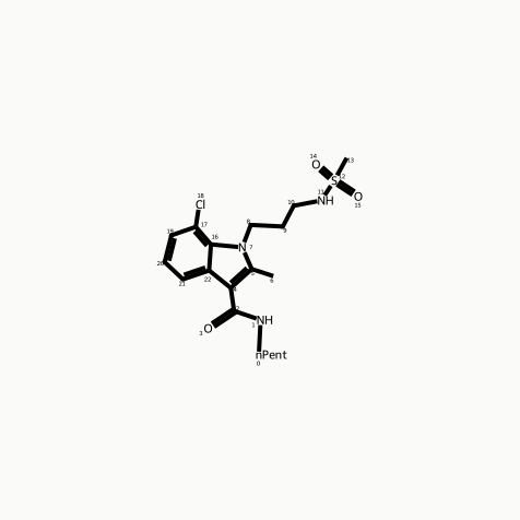 CCCCCNC(=O)c1c(C)n(CCCNS(C)(=O)=O)c2c(Cl)cccc12